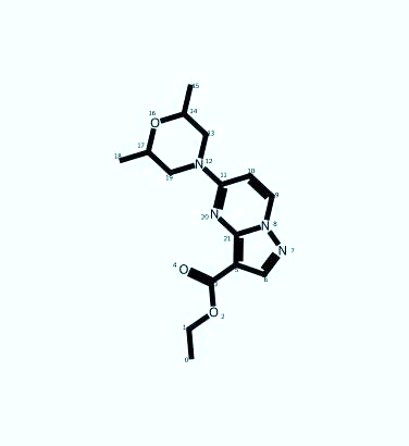 CCOC(=O)c1cnn2ccc(N3CC(C)OC(C)C3)nc12